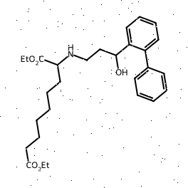 CCOC(=O)CCCCCCC(NCCC(O)c1ccccc1-c1ccccc1)C(=O)OCC